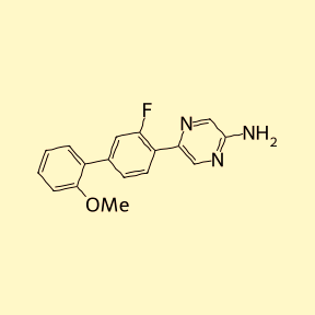 COc1ccccc1-c1ccc(-c2cnc(N)cn2)c(F)c1